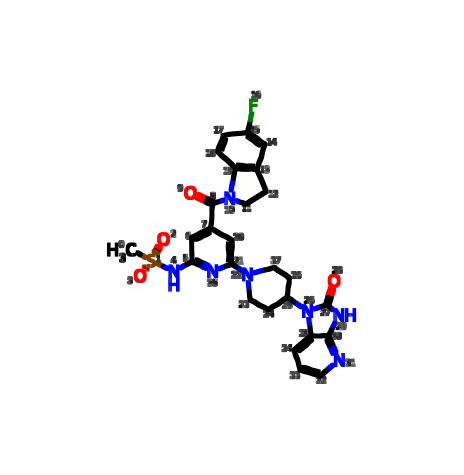 CS(=O)(=O)Nc1cc(C(=O)N2CCc3cc(F)ccc32)cc(N2CCC(n3c(=O)[nH]c4ncccc43)CC2)n1